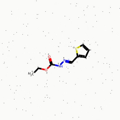 CCOC(=O)N/N=C/c1cccs1